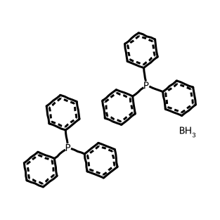 B.c1ccc(P(c2ccccc2)c2ccccc2)cc1.c1ccc(P(c2ccccc2)c2ccccc2)cc1